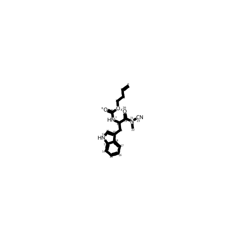 C=CCCOC(=O)NC(Cc1c[nH]c2ccccc12)C(=O)N(C)C#N